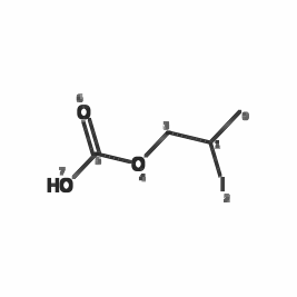 CC(I)COC(=O)O